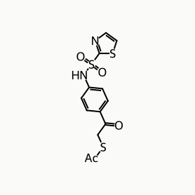 CC(=O)SCC(=O)c1ccc(NS(=O)(=O)c2nccs2)cc1